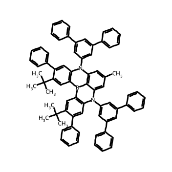 Cc1cc2c3c(c1)N(c1cc(-c4ccccc4)cc(-c4ccccc4)c1)c1cc(-c4ccccc4)c(C(C)(C)C)cc1B3c1cc(C(C)(C)C)c(-c3ccccc3)cc1N2c1cc(-c2ccccc2)cc(-c2ccccc2)c1